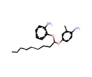 CCCCCCCCC(Oc1ccc(N)c(C)c1)Oc1ccccc1N